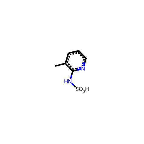 Cc1cccnc1NS(=O)(=O)O